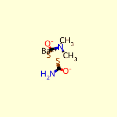 CN(C)C([O-])=S.NC([O-])=S.[Ba+2]